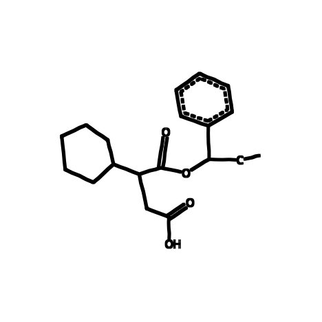 CCC(OC(=O)C(CC(=O)O)C1CCCCC1)c1ccccc1